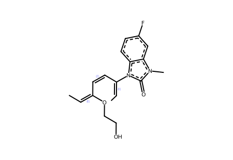 C\C=C(/C=C\C(=C/C)n1c(=O)n(C)c2cc(F)ccc21)OCCO